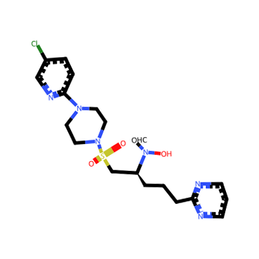 O=CN(O)[C@@H](CCCc1ncccn1)CS(=O)(=O)N1CCN(c2ccc(Cl)cn2)CC1